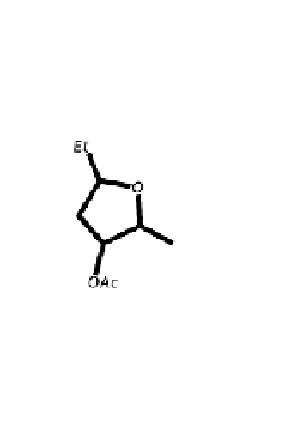 CCC1CC(OC(C)=O)C(C)O1